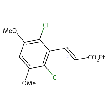 CCOC(=O)/C=C/c1c(Cl)c(OC)cc(OC)c1Cl